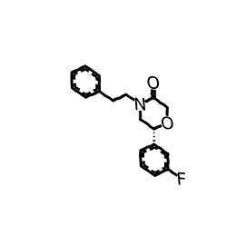 O=C1CO[C@H](c2cccc(F)c2)CN1CCc1ccccc1